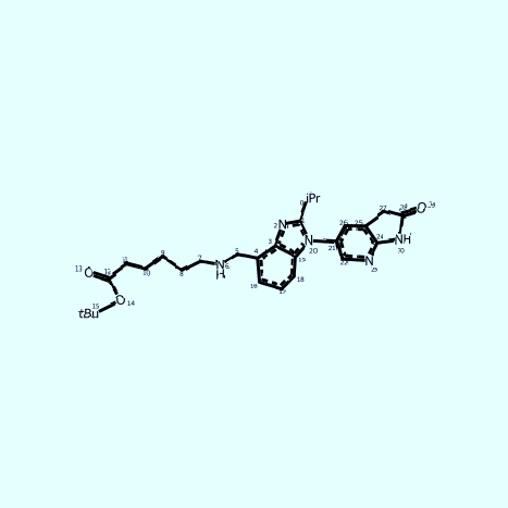 CC(C)c1nc2c(CNCCCCCC(=O)OC(C)(C)C)cccc2n1-c1cnc2c(c1)CC(=O)N2